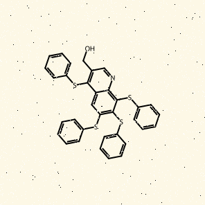 OCc1cnc2c(Sc3ccccc3)c(Sc3ccccc3)c(Sc3ccccc3)cc2c1Sc1ccccc1